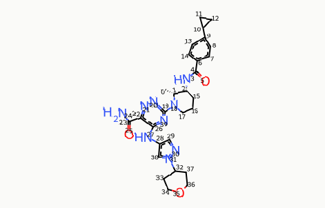 C[C@@H]1[C@H](NC(=O)c2ccc(C3CC3)cc2)CCCN1c1nnc(C(N)=O)c(Nc2cnn(C3CCOCC3)c2)n1